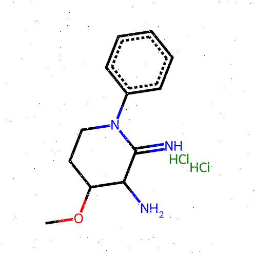 COC1CCN(c2ccccc2)C(=N)C1N.Cl.Cl